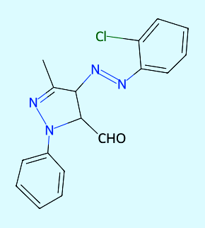 CC1=NN(c2ccccc2)C(C=O)C1N=Nc1ccccc1Cl